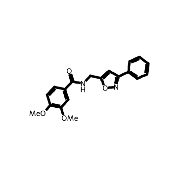 COc1ccc(C(=O)NCc2cc(-c3ccccc3)no2)cc1OC